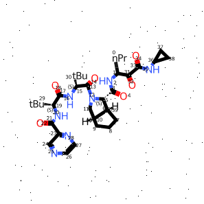 CCCC(NC(=O)[C@@H]1[C@H]2CCC[C@H]2CN1C(=O)[C@@H](NC(=O)[C@@H](NC(=O)c1cnccn1)C(C)(C)C)C(C)(C)C)C(=O)C(=O)NC1CC1